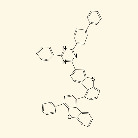 c1ccc(-c2ccc(-c3nc(-c4ccccc4)nc(-c4ccc5c(c4)sc4cccc(-c6ccc(-c7ccccc7)c7oc8ccccc8c67)c45)n3)cc2)cc1